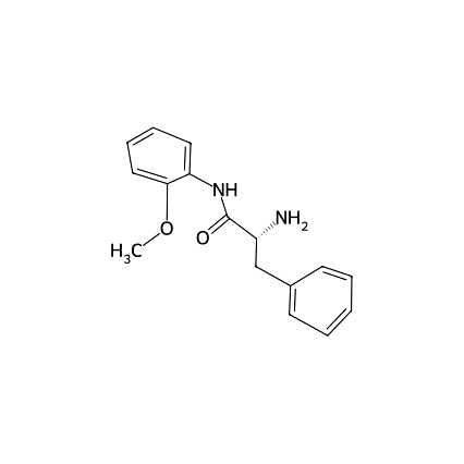 COc1ccccc1NC(=O)[C@H](N)Cc1ccccc1